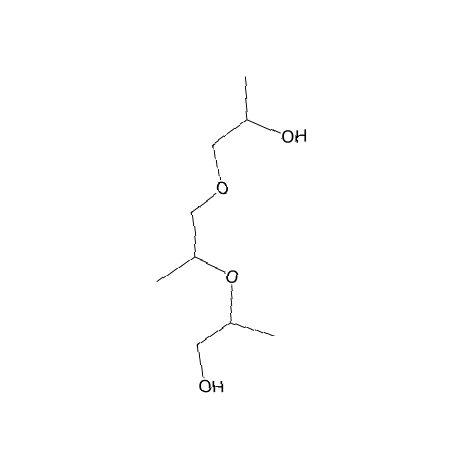 CC(O)COCC(C)OC(C)CO